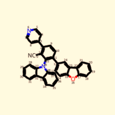 N#Cc1c(-c2ccncc2)ccc(-c2ccc3oc4ccccc4c3c2)c1-n1c2ccccc2c2ccccc21